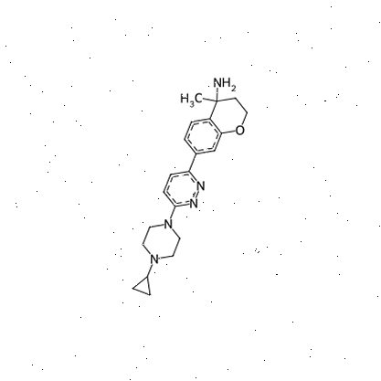 CC1(N)CCOc2cc(-c3ccc(N4CCN(C5CC5)CC4)nn3)ccc21